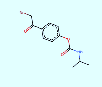 CC(C)NC(=O)Oc1ccc(C(=O)CBr)cc1